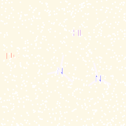 CN1C=CN(CO)C1.I